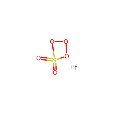 O=S1(=O)OOO1.[Hf]